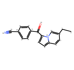 CCc1ccc2ccc(C(=O)c3ccc(C#N)cc3)n2c1